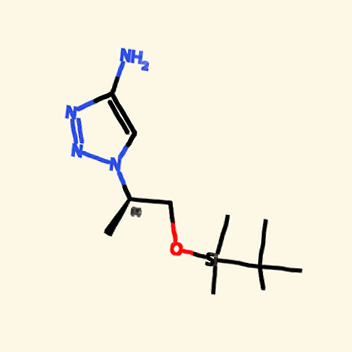 C[C@H](CO[Si](C)(C)C(C)(C)C)n1cc(N)nn1